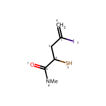 C=C(I)CC(S)C(=O)NC